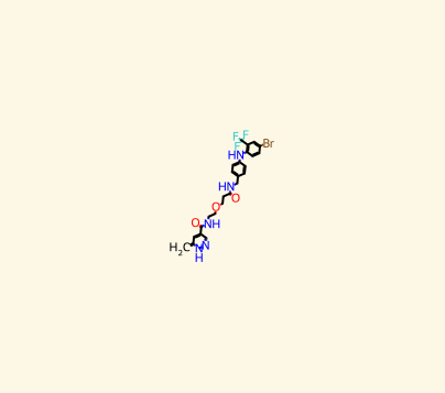 C=C1C=C(C(=O)NCCOCCC(=O)NCc2ccc(Nc3ccc(Br)cc3C(F)(F)F)cc2)C=NN1